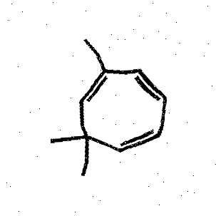 CC1=CC(C)(C)C=CC=C1